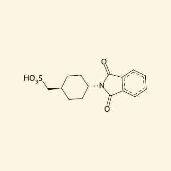 O=C1c2ccccc2C(=O)N1[C@H]1CC[C@H](CS(=O)(=O)O)CC1